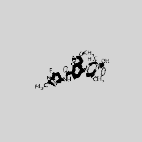 COc1cc2c(N3CC(C)N(C(=O)O)[C@@H](C)C3)ccc(C(=O)Nc3cc(F)c4nc(C)cn4c3)c2nn1